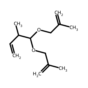 C=CC(C)C(OCC(=C)C)OCC(=C)C